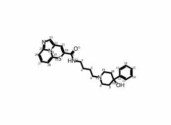 O=C(NCCCCN1CCC(O)(c2ccccc2)CC1)C1=Cc2cnc3cccc(n23)S1